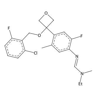 CCN(C)C=Nc1cc(C)c(C2(OCc3c(F)cccc3Cl)COC2)cc1F